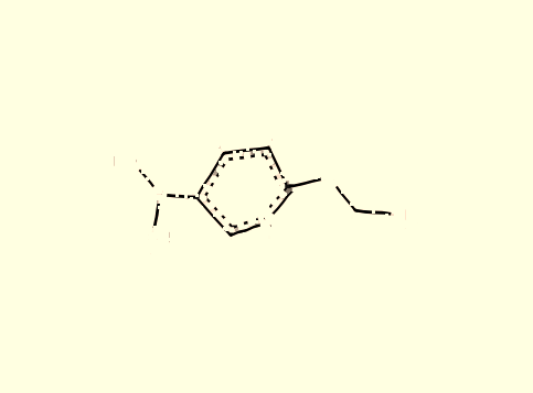 OB(O)c1ccc(OCC(F)(F)F)nc1